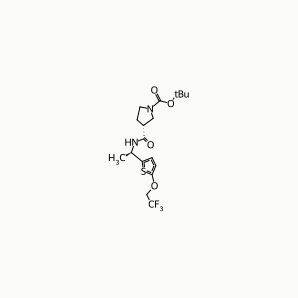 C[C@@H](NC(=O)[C@@H]1CCN(C(=O)OC(C)(C)C)C1)c1ccc(OCC(F)(F)F)s1